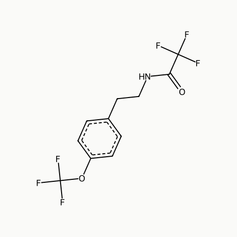 O=C(NCCc1ccc(OC(F)(F)F)cc1)C(F)(F)F